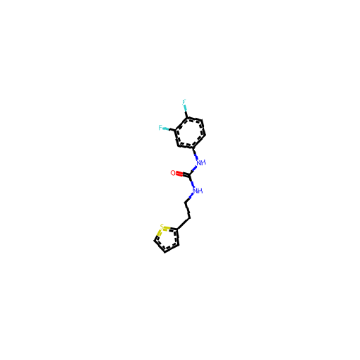 O=C(NCCc1cccs1)Nc1ccc(F)c(F)c1